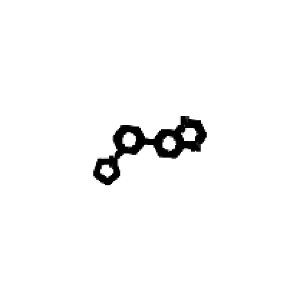 c1cc(-c2ccc3nccnc3c2)cc(N2CCCC2)c1